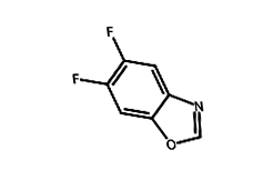 Fc1cc2ncoc2cc1F